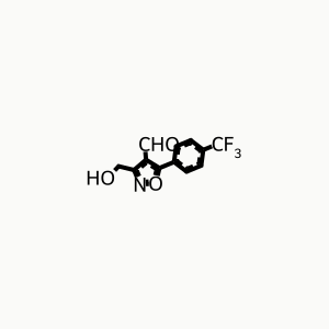 O=Cc1c(CO)noc1-c1ccc(C(F)(F)F)cc1